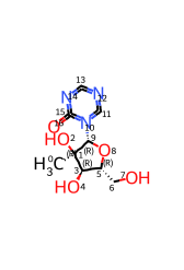 C[C@@]1(O)[C@H](O)[C@@H](CO)O[C@H]1n1cncnc1=O